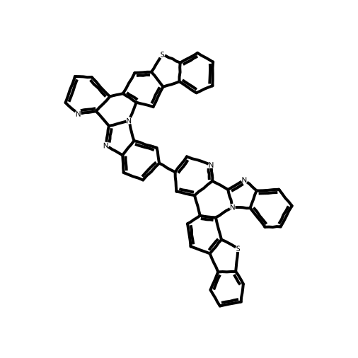 c1ccc2c(c1)nc1c3ncc(-c4ccc5nc6c7ncccc7c7cc8sc9ccccc9c8cc7n6c5c4)cc3c3ccc4c5ccccc5sc4c3n21